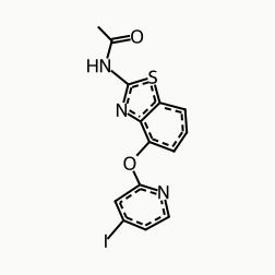 CC(=O)Nc1nc2c(Oc3cc(I)ccn3)cccc2s1